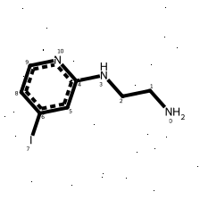 NCCNc1cc(I)ccn1